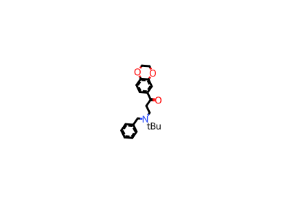 CC(C)(C)N(CCC(=O)c1ccc2c(c1)OCCO2)Cc1ccccc1